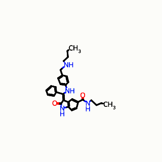 CCCCNCc1ccc(NC(=C2C(=O)Nc3ccc(C(=O)NCCCC)cc32)c2ccccc2)cc1